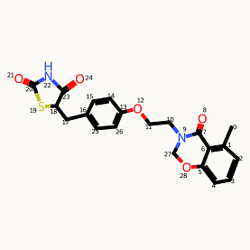 Cc1cccc2c1C(=O)N(CCOc1ccc(CC3SC(=O)NC3=O)cc1)CO2